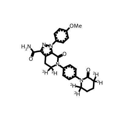 [2H]C1([2H])CCC([2H])([2H])N(c2ccc(N3C(=O)c4c(c(C(N)=O)nn4-c4ccc(OC)cc4)CC3([2H])[2H])cc2)C1=O